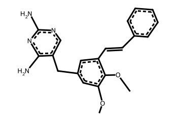 COc1cc(Cc2cnc(N)nc2N)cc(/C=C/c2ccccc2)c1OC